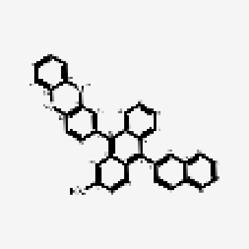 Cc1ccc2c(-c3ccc4ccccc4c3)c3ccccc3c(-c3ccc4c(c3)Oc3ccccc3S4)c2c1